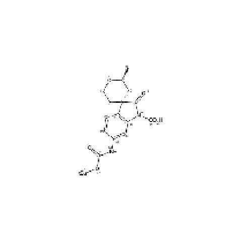 C[C@H]1C[C@]2(CCO1)C(=O)N(C(=O)O)c1cc(NC(=O)OC(C)(C)C)ccc12